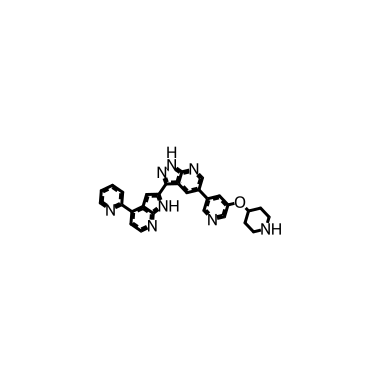 c1ccc(-c2ccnc3[nH]c(-c4n[nH]c5ncc(-c6cncc(OC7CCNCC7)c6)cc45)cc23)nc1